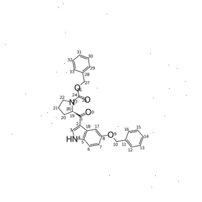 O=C(c1c[nH]c2ccc(OCc3ccccc3)cc12)[C@H]1CCCN1C(=O)OCc1ccccc1